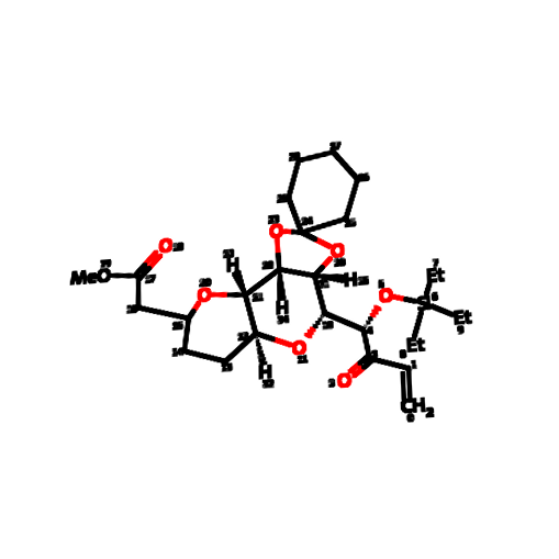 C=CC(=O)[C@@H](O[Si](CC)(CC)CC)[C@@H]1O[C@H]2CCC(CC(=O)OC)O[C@@H]2[C@@H]2OC3(CCCCC3)O[C@@H]21